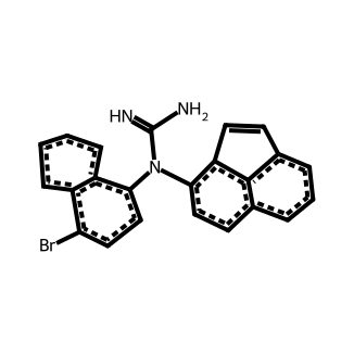 N=C(N)N(c1ccc2cccc3c2c1C=C3)c1ccc(Br)c2ccccc12